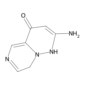 NC1=CC(=O)C2=CN=CCN2N1